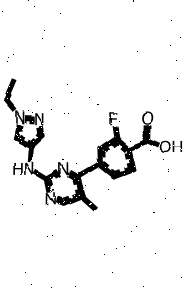 CCn1cc(Nc2ncc(C)c(-c3ccc(C(=O)O)c(F)c3)n2)cn1